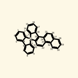 c1ccc2c(c1)-c1ccccc1[Si]21c2ccccc2-c2c1ccc1c2ccc2ccccc21